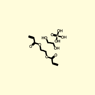 C=CC(=O)OCCOC(=O)C=C.O=P(O)(O)O.OCCO